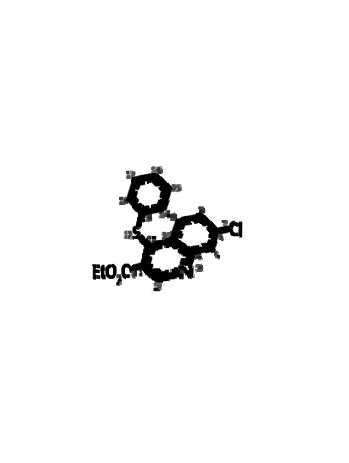 CCOC(=O)c1cnc2cc(Cl)ccc2c1Sc1ccccc1